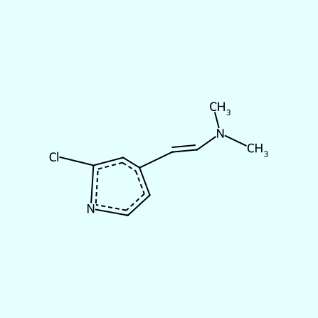 CN(C)/C=C/c1ccnc(Cl)c1